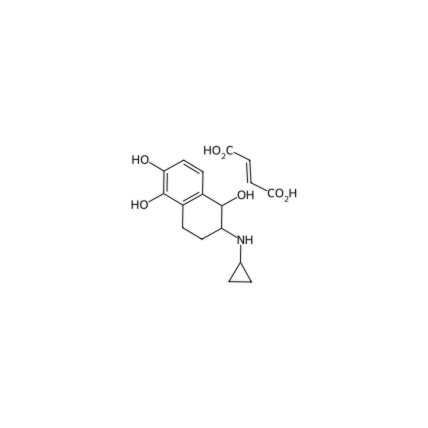 O=C(O)/C=C/C(=O)O.Oc1ccc2c(c1O)CCC(NC1CC1)C2O